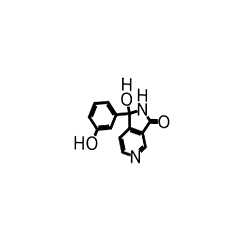 O=C1NC(O)(c2cccc(O)c2)c2ccncc21